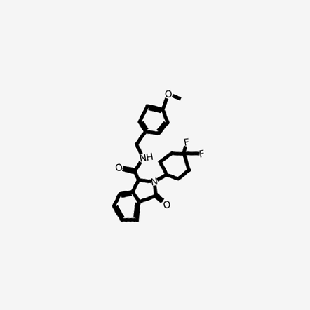 COc1ccc(CNC(=O)C2c3ccccc3C(=O)N2C2CCC(F)(F)CC2)cc1